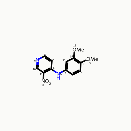 COc1ccc(Nc2ccncc2[N+](=O)[O-])cc1OC